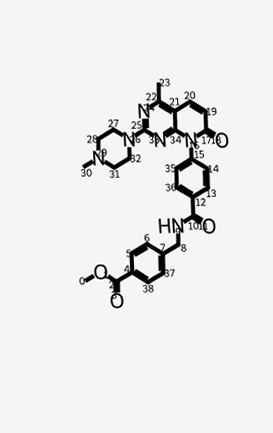 COC(=O)c1ccc(CNC(=O)c2ccc(-n3c(=O)ccc4c(C)nc(N5CCN(C)CC5)nc43)cc2)cc1